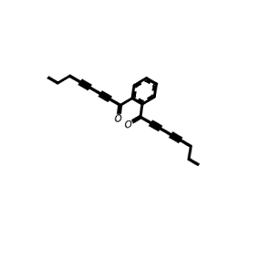 CCCC#CC#CC(=O)c1ccccc1C(=O)C#CC#CCCC